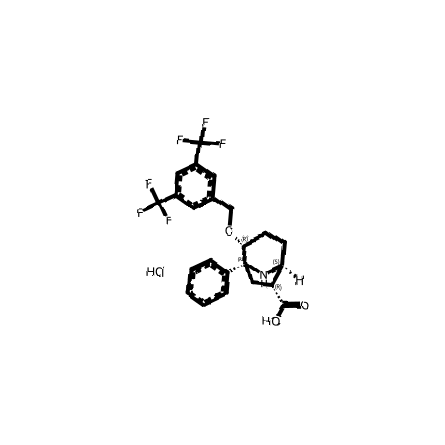 Cl.O=C(O)[C@@H]1C[C@]2(c3ccccc3)N[C@H]1CC[C@H]2OCc1cc(C(F)(F)F)cc(C(F)(F)F)c1